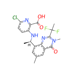 Cc1cc([C@@H](C)Nc2ccc(Cl)nc2C(=O)O)c2nc(C(C)(F)F)n(C)c(=O)c2c1